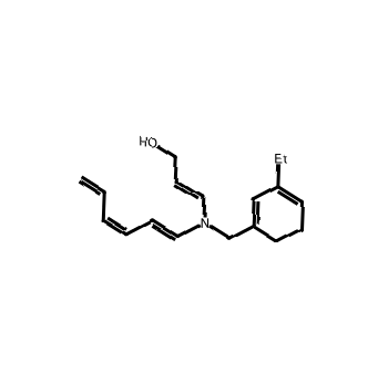 C=C/C=C\C=C\N(/C=C/CO)CC1=CC(CC)=CCC1